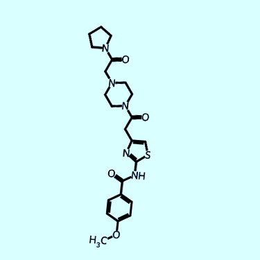 COc1ccc(C(=O)Nc2nc(CC(=O)N3CCN(CC(=O)N4CCCC4)CC3)cs2)cc1